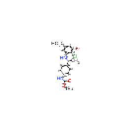 C[C@H](Nc1cc(C(=O)O)cc(Br)c1Cl)C1CCC(NC(=O)OC(C)(C)C)CC1